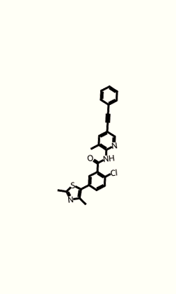 Cc1nc(C)c(-c2ccc(Cl)c(C(=O)Nc3ncc(C#Cc4ccccc4)cc3C)c2)s1